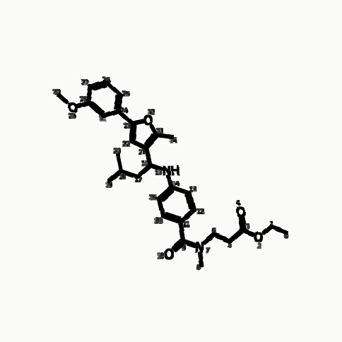 CCOC(=O)CCN(C)C(=O)c1ccc(NC(CC(C)C)c2cc(-c3cccc(OC)c3)oc2C)cc1